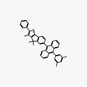 Cc1cc(C)cc(-c2c3ccccc3c(-c3ccc4c(c3)C(C)(C)c3c-4sc(-c4ccccc4)c3C)c3ccccc23)c1